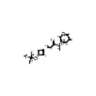 O=C(CO[C@H]1C[C@@H](OC(F)(F)F)C1)N[C@H]1CCCOC1